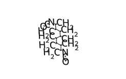 C=C(N=C=O)C(=C)C(=C)C(=C)C(=C)C(=C)C(=C)C(=C)N=C=O